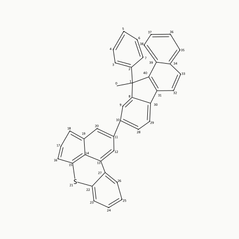 CC1(c2ccccc2)c2cc(-c3cc4c5c(cccc5c3)Sc3ccccc3-4)ccc2-c2ccc3ccccc3c21